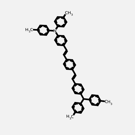 Cc1ccc(C(c2ccc(C)cc2)c2ccc(/C=C/c3ccc(/C=C/c4ccc(N(c5ccc(C)cc5)c5ccc(C)cc5)cc4)cc3)cc2)cc1